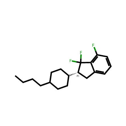 CCCCC1CCC([C@H]2Cc3cccc(F)c3C2(F)F)CC1